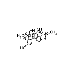 C#Cc1ccc(Nc2ccnc(C(=O)NOCC)c2N(OC)c2ccccn2)c(N(C)S(C)(=O)=O)c1